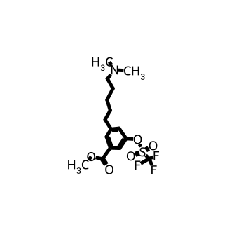 COC(=O)c1cc(CCCCCN(C)C)cc(OS(=O)(=O)C(F)(F)F)c1